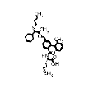 CCCCSC(C1CCCCC1)C(C)OCc1ccc(C(=O)N[C@@H](CCSC)C(=O)O)c(-c2ccccc2C)c1